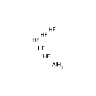 F.F.F.F.F.[AlH3]